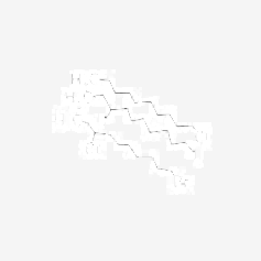 CCC(Br)CCCCCCCBr.CCC(I)CCCCCCCI.CCCCCCCCCCCl